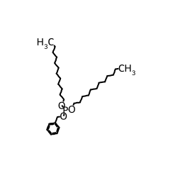 CCCCCCCCCCCCOP(OCCCCCCCCCCCC)OCc1ccccc1